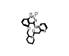 NC1=N[S+]([O-])Nc2cccc(OCC3CCCCN3C(=O)Cc3ncccn3)c21